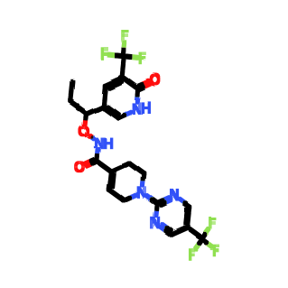 CCC(ONC(=O)C1=CCN(c2ncc(C(F)(F)F)cn2)CC1)c1c[nH]c(=O)c(C(F)(F)F)c1